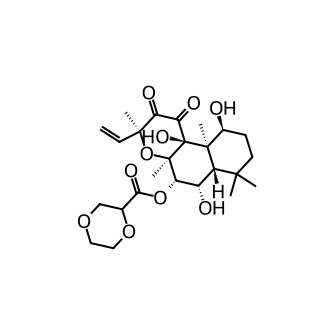 C=C[C@]1(C)O[C@]2(C)[C@@H](OC(=O)C3COCCO3)[C@@H](O)[C@H]3C(C)(C)CC[C@H](O)[C@]3(C)[C@@]2(O)C(=O)C1=O